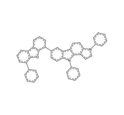 c1ccc(-c2cccc3c2oc2c(-c4ccc5c(c4)c4ccc6c(ccn6-c6ccccc6)c4n5-c4ccccc4)cccc23)cc1